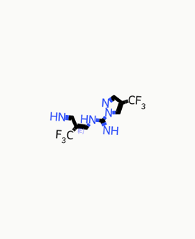 N=C/C(=C\NC(=N)n1cc(C(F)(F)F)cn1)C(F)(F)F